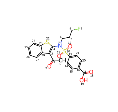 CC(=O)c1c(N(CCCF)S(=O)(=O)c2ccc(C(=O)O)cc2)sc2ccccc12